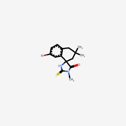 CN1C(=O)C2(CC(C)(C)Cc3ccc(Br)cc32)NC1=S